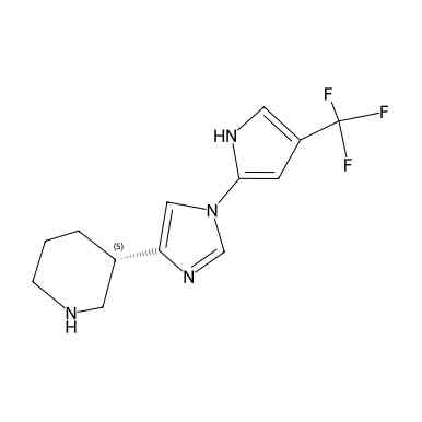 FC(F)(F)c1c[nH]c(-n2cnc([C@H]3CCCNC3)c2)c1